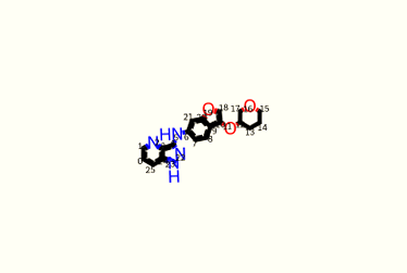 c1cnc2c(Nc3ccc4c(OC5CCCOC5)coc4c3)n[nH]c2c1